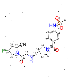 CS(=O)(=O)Nc1ccc(C(=O)N2CC3C(C2)C3NCC(=O)N2C[C@@H](F)C[C@H]2C#N)cc1